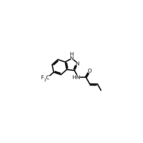 CC=CC(=O)Nc1n[nH]c2ccc(C(F)(F)F)cc12